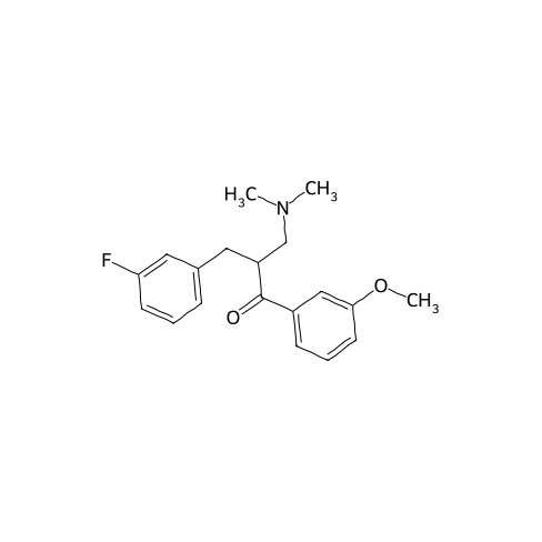 COc1cccc(C(=O)C(Cc2cccc(F)c2)CN(C)C)c1